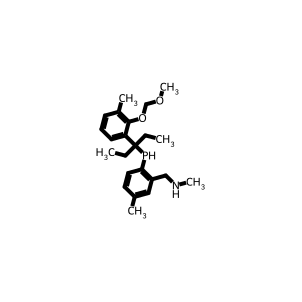 CCC(CC)(Pc1ccc(C)cc1CNC)c1cccc(C)c1OCOC